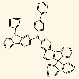 c1ccc(-c2ccc(N(c3ccc4c5c(ccc4c3)C(c3ccccc3)(c3ccccc3)c3ccccc3-5)c3ccc4c5ccccc5n(-c5ccccc5)c4c3)cc2)cc1